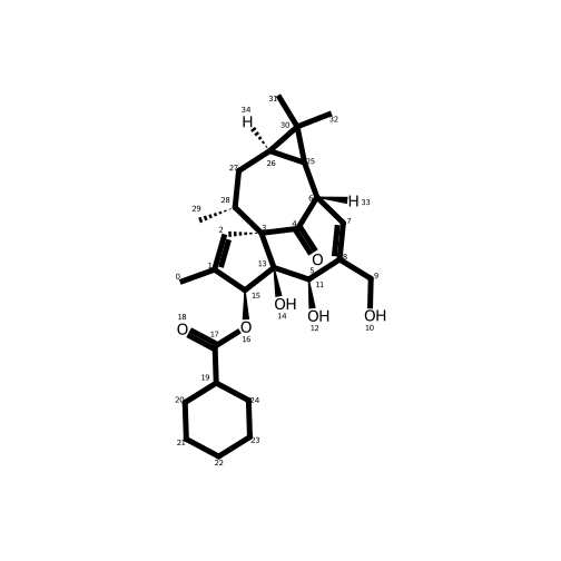 CC1=C[C@]23C(=O)[C@@H](C=C(CO)[C@@H](O)[C@]2(O)[C@H]1OC(=O)C1CCCCC1)C1[C@@H](C[C@H]3C)C1(C)C